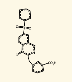 O=C(O)c1cccc(Cn2ncc3cc(S(=O)(=O)c4ccccc4)ccc3c2=O)c1